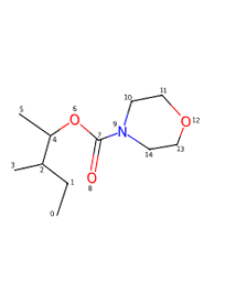 CCC(C)C(C)OC(=O)N1CCOCC1